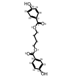 O=C(OCCCCOC(=O)c1ccc(O)cc1)c1ccc(O)cc1